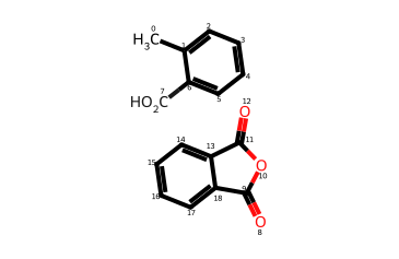 Cc1ccccc1C(=O)O.O=C1OC(=O)c2ccccc21